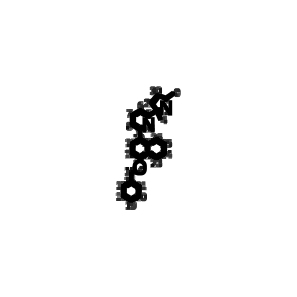 CC1=NC(C)(c2cccc(-c3ccc(OCc4ccccc4)c4ccccc34)n2)C=C1